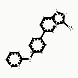 FC(F)(F)c1nnc2ccc(-c3ccc(Oc4cccnn4)cc3)cn12